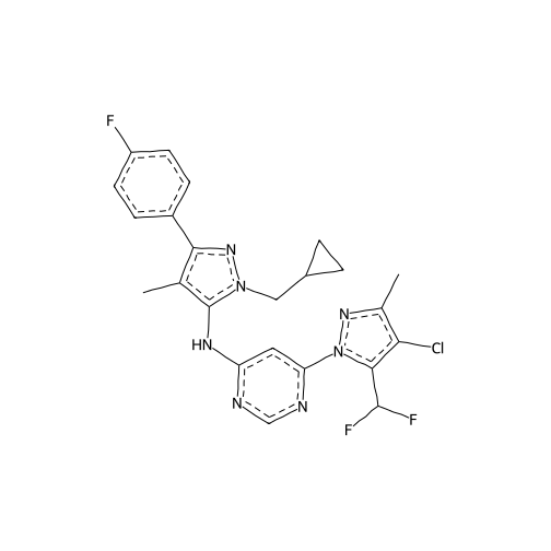 Cc1nn(-c2cc(Nc3c(C)c(-c4ccc(F)cc4)nn3CC3CC3)ncn2)c(C(F)F)c1Cl